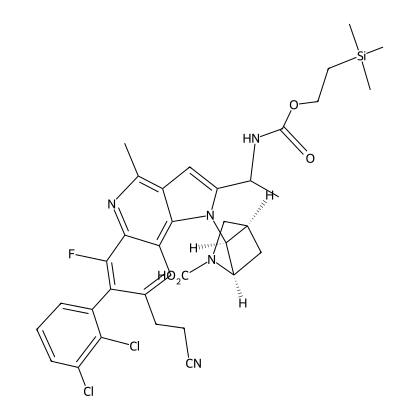 Cc1nc2c(F)c(-c3cccc(Cl)c3Cl)c(CCC#N)cc2c2c1cc(C(C)NC(=O)OCC[Si](C)(C)C)n2[C@H]1[C@@H]2C[C@H]1N(C(=O)O)C2